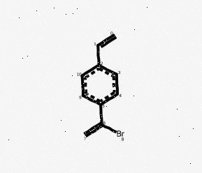 C=Cc1ccc(C(=C)Br)cc1